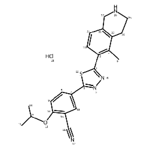 Cc1c(-c2nnc(-c3ccc(OC(C)C)c(C#N)c3)s2)ccc2c1CCNC2.Cl